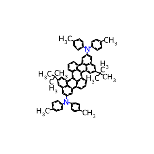 Cc1ccc(N(c2ccc(C)cc2)c2cc3cc(C(C)(C)C)cc4c3c(c2)c2cccc3c2c4c2cccc4c5cc(N(c6ccc(C)cc6)c6ccc(C)cc6)cc6cc(C(C)(C)C)cc(c65)c3c42)cc1